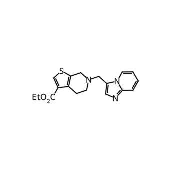 CCOC(=O)c1csc2c1CCN(Cc1cnc3ccccn13)C2